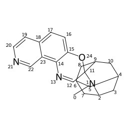 CN1C2CC3CC(C2)CC(C3)C12C=Nc1c(ccc3ccncc13)O2